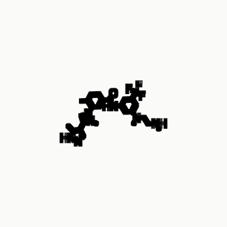 CNCCN(C)c1cc(NC(=O)c2ccc(C)c(-n3cc(-c4cn[nH]c4C)n3C)c2)cc(C(F)(F)F)c1